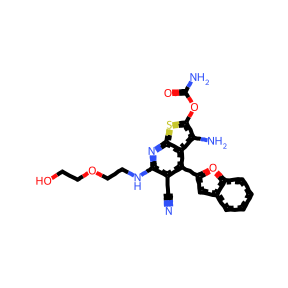 N#Cc1c(NCCOCCO)nc2sc(OC(N)=O)c(N)c2c1-c1cc2ccccc2o1